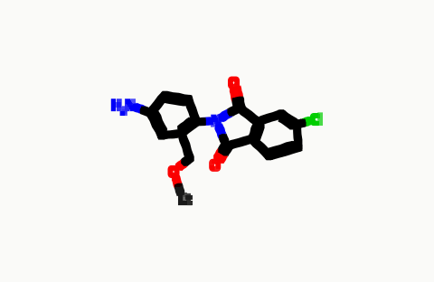 CCOCc1cc(N)ccc1N1C(=O)c2ccc(Cl)cc2C1=O